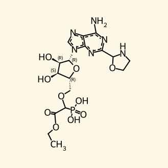 CCOC(=O)C(OC[C@H]1O[C@@H](n2cnc3c(N)nc(C4NCCO4)nc32)[C@H](O)[C@@H]1O)P(=O)(O)O